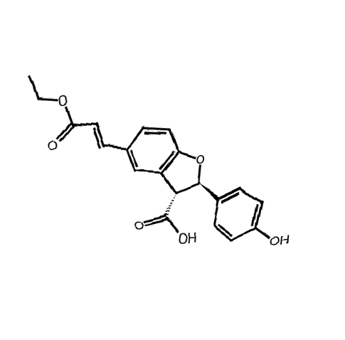 CCOC(=O)/C=C/c1ccc2c(c1)[C@@H](C(=O)O)[C@H](c1ccc(O)cc1)O2